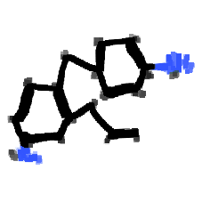 C=CCc1cc(N)ccc1Cc1ccc(N)cc1